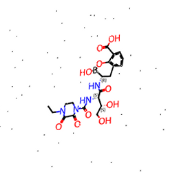 CCN1CCN(C(=O)N[C@H](C(=O)N[C@H]2Cc3cccc(C(=O)O)c3OB2O)[C@H](O)CO)C(=O)C1=O